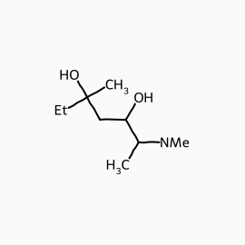 CCC(C)(O)CC(O)C(C)NC